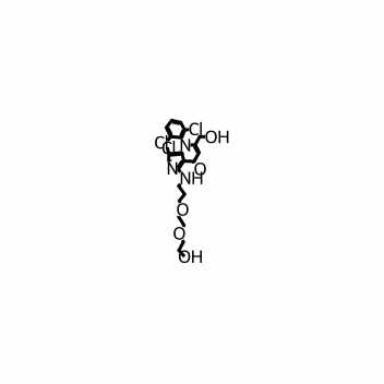 O=c1cc(CO)n(-c2c(Cl)cccc2Cl)c2c(Cl)cnc(NCCCOCCOCCO)c12